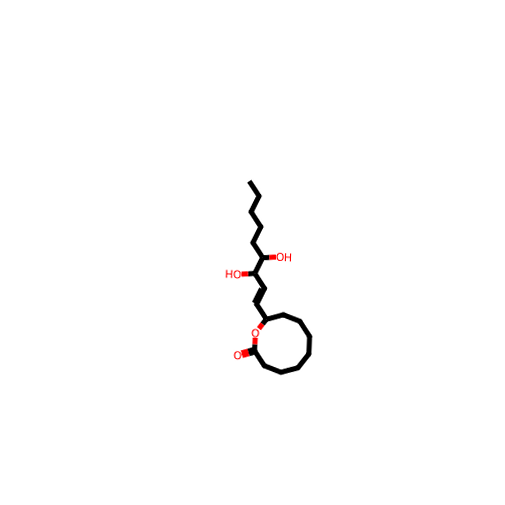 CCCCCC(O)C(O)C=CC1CCCCCCCC(=O)O1